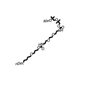 CCCCCCCCCCCCCCOCCCOC(=O)NCCOCCOCCNC(=O)OCC(C)(C)OCC(C)(C)OC